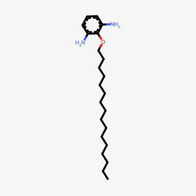 CCCCCCCCCCCCCCCCOc1c(N)cccc1N